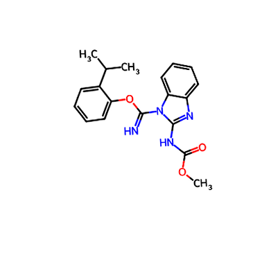 COC(=O)Nc1nc2ccccc2n1C(=N)Oc1ccccc1C(C)C